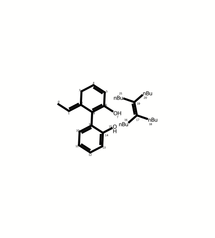 CC=C1CC=CC(O)=C1c1ccccc1O.CCCCC(CCCC)=C(CCCC)CCCC